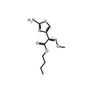 CCCCOC(=O)/C(=N\OC)c1csc(N)n1